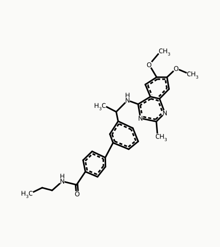 CCCNC(=O)c1ccc(-c2cccc(C(C)Nc3nc(C)nc4cc(OC)c(OC)cc34)c2)cc1